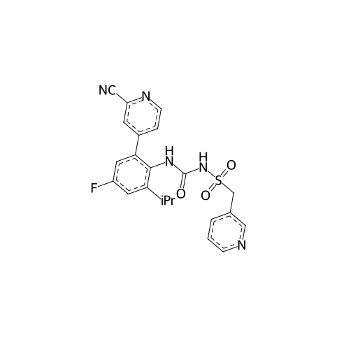 CC(C)c1cc(F)cc(-c2ccnc(C#N)c2)c1NC(=O)NS(=O)(=O)Cc1cccnc1